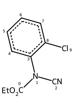 CCOC(=O)N(C#N)c1ccccc1Cl